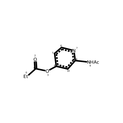 CCC(=O)Oc1ccnc(NC(C)=O)c1